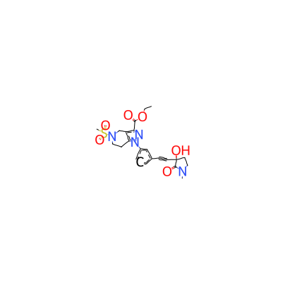 CCOC(=O)c1nn(-c2cccc(C#C[C@]3(O)CCN(C)C3=O)c2)c2c1CN(S(C)(=O)=O)CC2